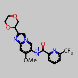 COc1cc2nc(C3COCCO3)cn2cc1NC(=O)c1cccc(C(F)(F)F)n1